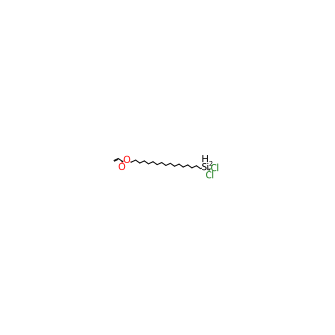 C=CC(=O)OCCCCCCCCCCCCCCCCC[SiH2]C(Cl)Cl